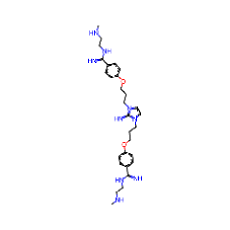 CNCCNC(=N)c1ccc(OCCCn2ccn(CCCOc3ccc(C(=N)NCCNC)cc3)c2=N)cc1